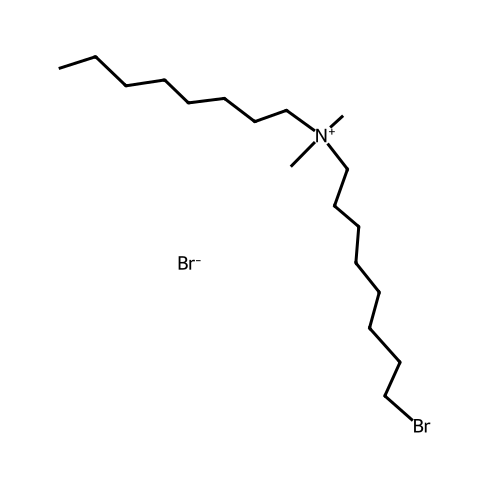 CCCCCCCC[N+](C)(C)CCCCCCCCBr.[Br-]